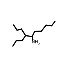 CCCCCC(N)C(CCC)CCC